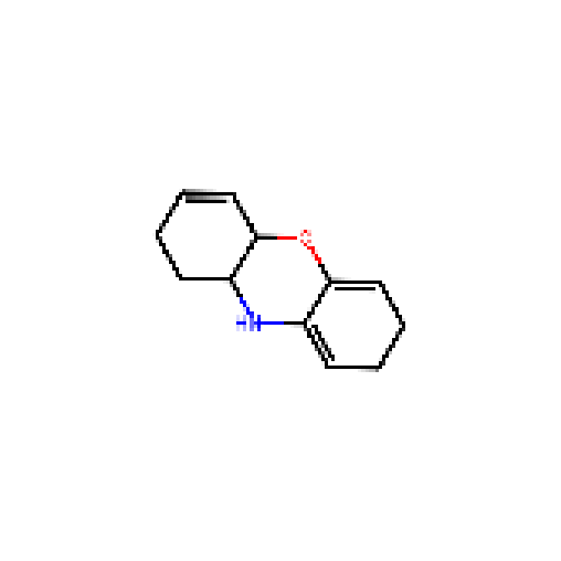 C1=CC2OC3=CCCC=C3NC2CC1